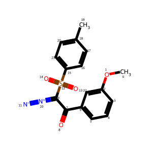 COc1cccc(C(=O)C(=[N+]=[N-])S(=O)(=O)c2ccc(C)cc2)c1